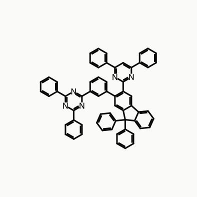 c1ccc(-c2cc(-c3ccccc3)nc(-c3cc4c(cc3-c3cccc(-c5nc(-c6ccccc6)nc(-c6ccccc6)n5)c3)C(c3ccccc3)(c3ccccc3)c3ccccc3-4)n2)cc1